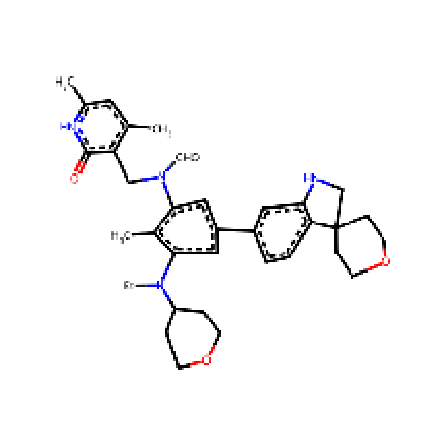 CCN(c1cc(-c2ccc3c(c2)NCC32CCOCC2)cc(N(C=O)Cc2c(C)cc(C)[nH]c2=O)c1C)C1CCOCC1